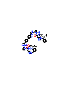 COC(=O)N[C@@H](Cc1cn(Cc2ccccc2)cn1)C(=O)N1CCC[C@H]1c1ncc(-c2ccc(-c3ccc(-c4cnc([C@@H]5CCCN5C(=O)[C@H](Cc5cn(Cc6ccccc6)cn5)NC(=O)O)[nH]4)cc3)cc2)[nH]1